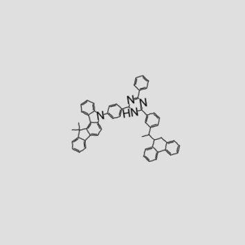 CC(c1cccc(C2=NC(c3ccccc3)=NC(c3ccc(-n4c5ccccc5c5c6c(ccc54)-c4ccccc4C6(C)C)cc3)N2)c1)C1Cc2ccccc2-c2ccccc21